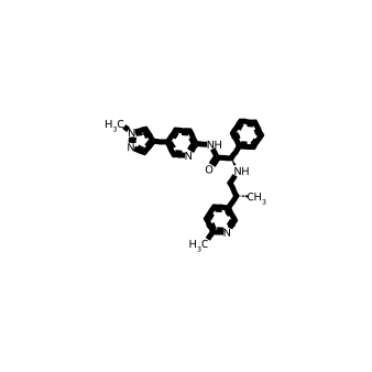 Cc1ccc([C@@H](C)CN[C@H](C(=O)Nc2ccc(-c3cnn(C)c3)cn2)c2ccccc2)cn1